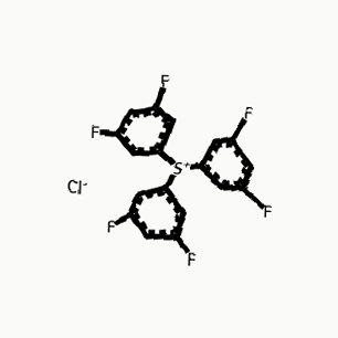 Fc1cc(F)cc([S+](c2cc(F)cc(F)c2)c2cc(F)cc(F)c2)c1.[Cl-]